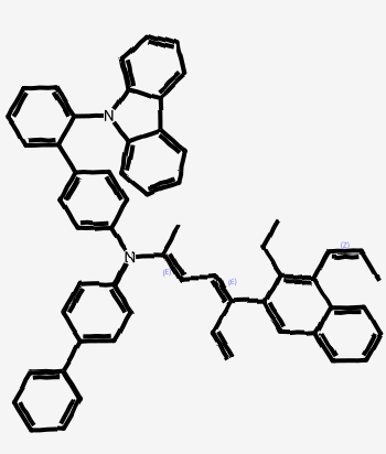 C=C/C(=C\C=C(/C)N(c1ccc(-c2ccccc2)cc1)c1ccc(-c2ccccc2-n2c3ccccc3c3ccccc32)cc1)c1cc2ccccc2c(/C=C\C)c1CC